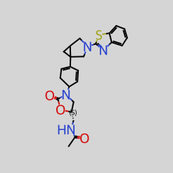 CC(=O)NC[C@H]1CN(C2C=CC(C34CC3CN(c3nc5ccccc5s3)C4)=CC2)C(=O)O1